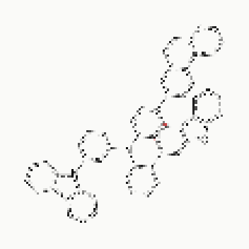 c1cc(N(c2ccc(-c3ccc4c(ccc5ccccc54)c3)cc2)c2ccccc2-c2ccc3c(c2)oc2ccccc23)cc(-n2c3ccccc3c3ccccc32)c1